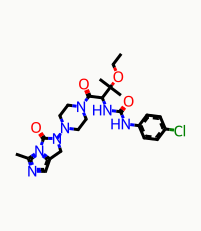 CCOC(C)(C)C(NC(=O)Nc1ccc(Cl)cc1)C(=O)N1CCN(N2Cc3cnc(C)n3C2=O)CC1